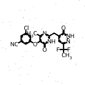 Cc1nc(Cc2cc(C(C)(F)F)n[nH]c2=O)[nH]c(=O)c1Oc1cc(Cl)cc(C#N)c1